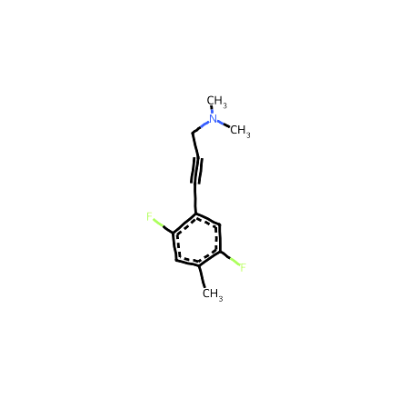 Cc1cc(F)c(C#CCN(C)C)cc1F